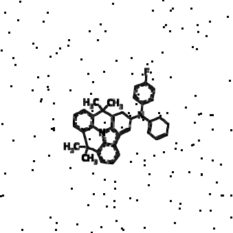 CC1(C)C2=c3c(c4cccc5c4n3-c3c1cccc3C5(C)C)=CC(N(C1=CC=CCC1)c1ccc(F)cc1)C2